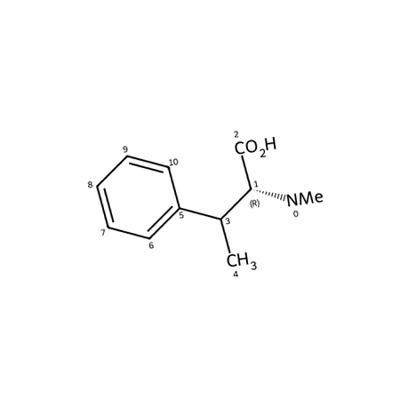 CN[C@@H](C(=O)O)C(C)c1ccccc1